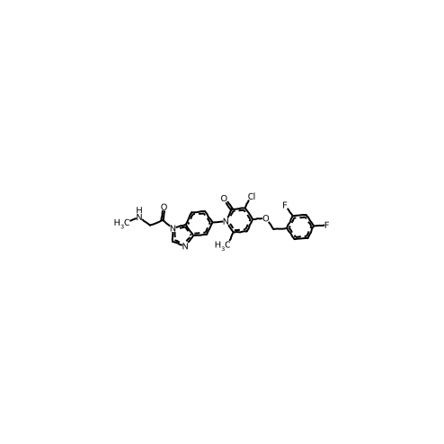 CNCC(=O)n1cnc2cc(-n3c(C)cc(OCc4ccc(F)cc4F)c(Cl)c3=O)ccc21